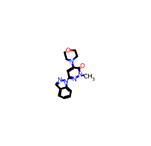 Cn1nc(-n2ncc3ccccc32)cc(N2CCOCC2)c1=O